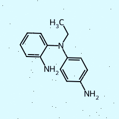 CCN(c1ccc(N)cc1)c1ccccc1N